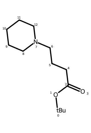 CC(C)(C)OC(=O)CCCN1CCCCC1